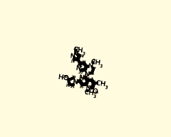 Cc1cc2c(N3CCN(C)c4cc(-c5cnn(C)c5)ncc43)nc(N3CCC(O)C3)cc2n(C)c1=O